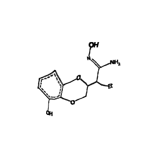 CCC(C(N)=NO)C1COc2c(O)cccc2O1